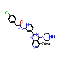 COc1cncc2nc(-c3ccnc(NC(=O)Cc4ccc(Cl)cc4)c3)nc(N3CCNCC3)c12